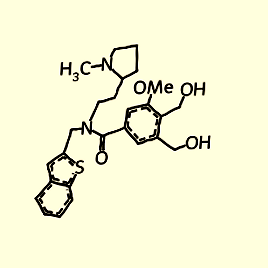 COc1cc(C(=O)N(CCC2CCCN2C)Cc2cc3ccccc3s2)cc(CO)c1CO